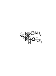 NC1CCC(Nc2nc(Nc3ccc(OC(F)(F)F)cc3)c3ncn(C4CCSC4)c3n2)CC1